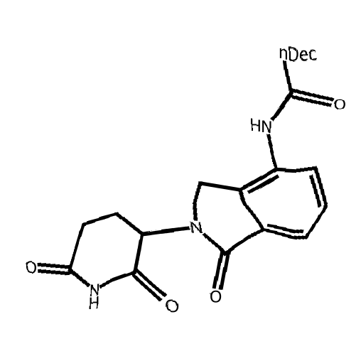 CCCCCCCCCCC(=O)Nc1cccc2c1CN(C1CCC(=O)NC1=O)C2=O